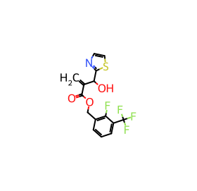 C=C(C(=O)OCc1cccc(C(F)(F)F)c1F)C(O)c1nccs1